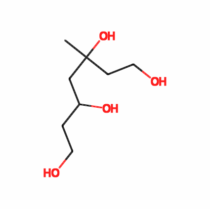 CC(O)(CCO)CC(O)CCO